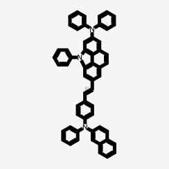 C(=C\c1cc2ccc3cc(N(c4ccccc4)c4ccccc4)cc4c3c2c(c1)n4-c1ccccc1)/c1ccc(N(c2ccccc2)c2ccc3ccccc3c2)cc1